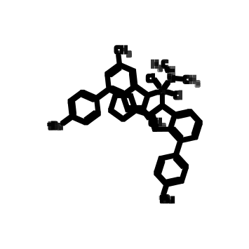 CC1=Cc2c(-c3ccc(C(C)(C)C)cc3)cc(C)cc2[CH]1[Zr]([Cl])([Cl])([CH]1C(C2CCCC2)=Cc2c(-c3ccc(C(C)(C)C)cc3)cccc21)[SiH](C)C